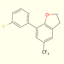 Fc1cccc(-c2cc(C(F)(F)F)cc3c2O[CH]C3)c1